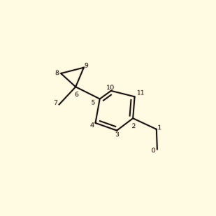 CCc1ccc(C2(C)CC2)cc1